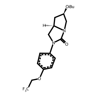 CC(C)CO[C@@H]1C[C@@H]2CN(c3ccc(OCC(F)(F)F)cc3)C(=O)N2C1